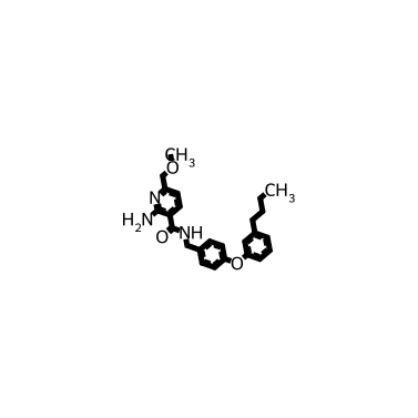 CCCCc1cccc(Oc2ccc(CNC(=O)c3ccc(COC)nc3N)cc2)c1